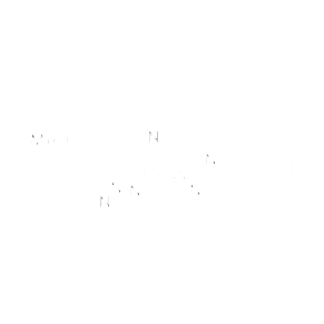 COc1ccc(C(=O)N2CCCC2c2nc(-c3cccc(Cl)c3C)no2)c(-n2nccn2)c1